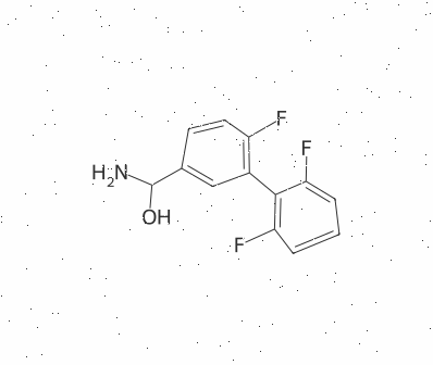 NC(O)c1ccc(F)c(-c2c(F)cccc2F)c1